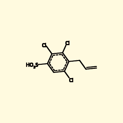 C=CCc1c(Cl)cc(S(=O)(=O)O)c(Cl)c1Cl